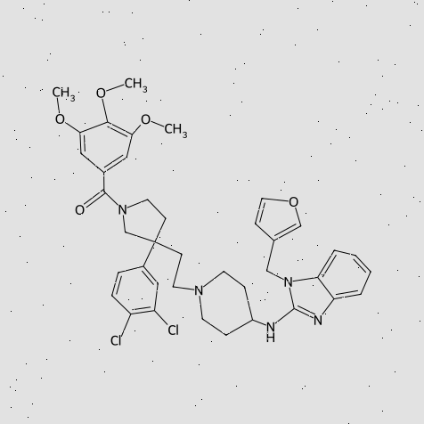 COc1cc(C(=O)N2CCC(CCN3CCC(Nc4nc5ccccc5n4Cc4ccoc4)CC3)(c3ccc(Cl)c(Cl)c3)C2)cc(OC)c1OC